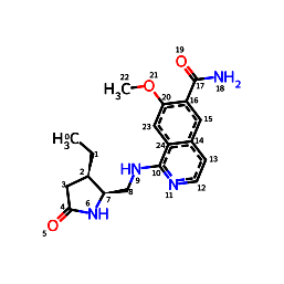 CC[C@@H]1CC(=O)N[C@@H]1CNc1nccc2cc(C(N)=O)c(OC)cc12